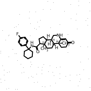 C[C@]12CCC(=O)C=C1NC[C@@H]1[C@H]2CC[C@]2(C)C(C(=O)NC3(c4ccc(F)cc4)CCCCC3)CC[C@@H]12